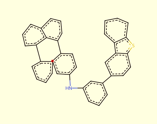 c1ccc(-c2cccc3cccc(-c4ccc(Nc5cccc(-c6ccc7sc8ccccc8c7c6)c5)cc4)c23)cc1